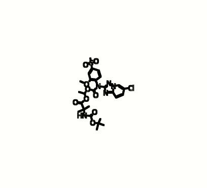 COc1cc(S(C)(=O)=O)ccc1N(C(=O)OC(C)OC(=O)C(C)(C)NC(=O)OC(C)(C)C)c1nc2ccc(Cl)cn2n1